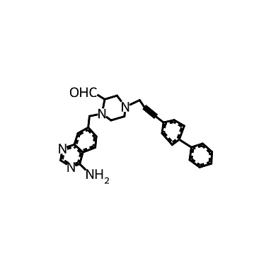 Nc1ncnc2cc(CN3CCN(CC#Cc4ccc(-c5ccccc5)cc4)CC3C=O)ccc12